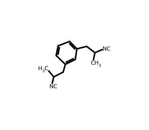 [C-]#[N+]C(C)Cc1cccc(CC(C)[N+]#[C-])c1